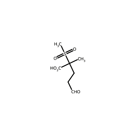 CC(CCC=O)(C(=O)O)S(C)(=O)=O